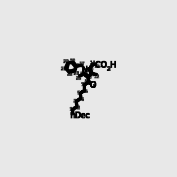 CCCCCCCCCCCCCCCCCC(=O)c1c(C)c(CC(=O)O)n(Cc2ccccc2)c1C